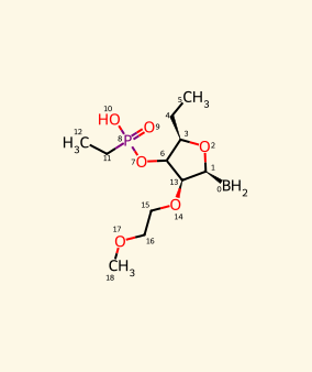 B[C@@H]1O[C@H](CC)C(OP(=O)(O)CC)[C@@H]1OCCOC